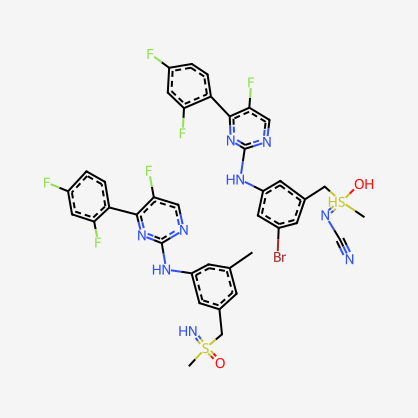 C[SH](O)(Cc1cc(Br)cc(Nc2ncc(F)c(-c3ccc(F)cc3F)n2)c1)=NC#N.Cc1cc(CS(C)(=N)=O)cc(Nc2ncc(F)c(-c3ccc(F)cc3F)n2)c1